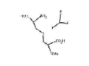 CNC(CSCC(N)C(=O)O)C(=O)O.FC(F)F